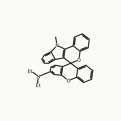 CCN(CC)c1ccc2c(c1)Oc1ccccc1C21Oc2ccccc2-c2c1c1ccccc1n2C